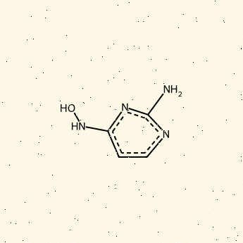 Nc1nccc(NO)n1